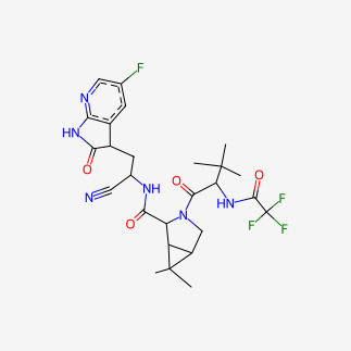 CC(C)(C)C(NC(=O)C(F)(F)F)C(=O)N1CC2C(C1C(=O)NC(C#N)CC1C(=O)Nc3ncc(F)cc31)C2(C)C